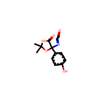 CC(C)(C)OC(N=C=O)(C(=O)O)c1ccc(O)cc1